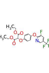 CCOC(=O)C(Oc1ccc(Oc2ncc(C(F)(F)F)cc2F)cc1)C(=O)OCC